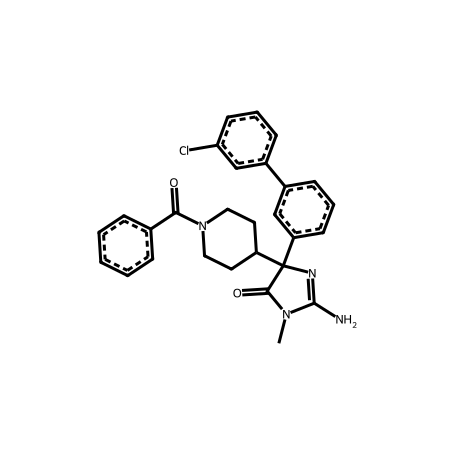 CN1C(=O)C(c2cccc(-c3cccc(Cl)c3)c2)(C2CCN(C(=O)c3ccccc3)CC2)N=C1N